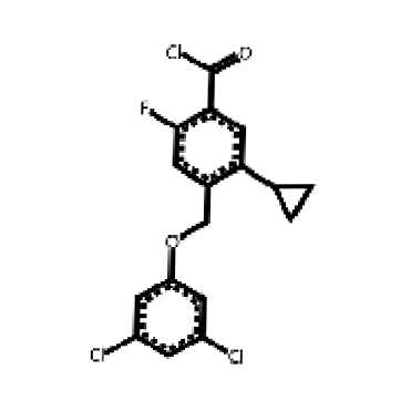 O=C(Cl)c1cc(C2CC2)c(COc2cc(Cl)cc(Cl)c2)cc1F